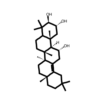 CC1(C)CC[C@]2(C)CC[C@]3(C)C(=C2C1)C[C@@H](O)[C@@H]1[C@@]2(C)C[C@@H](O)[C@H](O)C(C)(C)C2CC[C@]13C